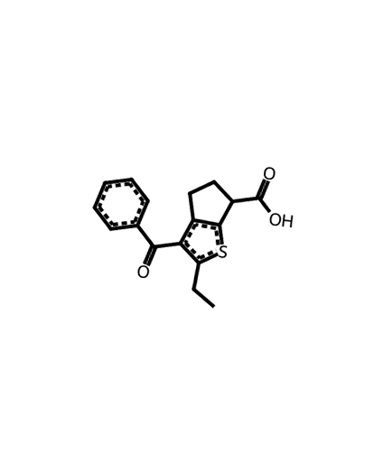 CCc1sc2c(c1C(=O)c1ccccc1)CCC2C(=O)O